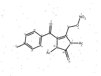 CC(=O)n1c(CO[N+](=O)[O-])c(C(=O)c2ccc(C)cc2)n(C(C)=O)c1=O